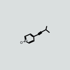 CC(C)C#Cc1cc[n+]([O-])cc1